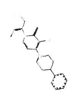 C=C1C(C#N)=C(N2CCC(c3ccccc3)CC2)C=CN1/C(=C\C)CC(F)(F)F